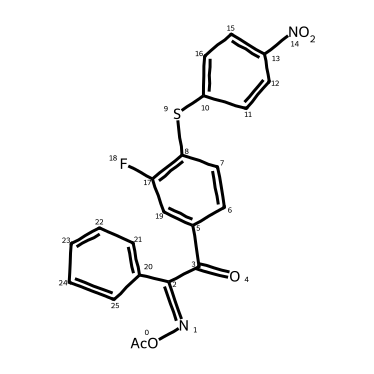 CC(=O)O/N=C(/C(=O)c1ccc(Sc2ccc([N+](=O)[O-])cc2)c(F)c1)c1ccccc1